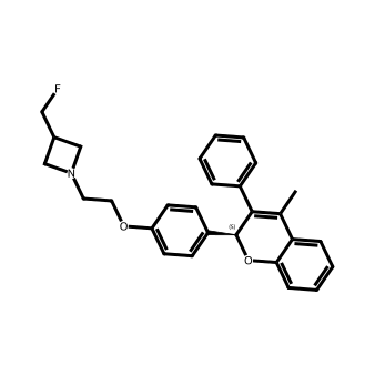 CC1=C(c2ccccc2)[C@H](c2ccc(OCCN3CC(CF)C3)cc2)Oc2ccccc21